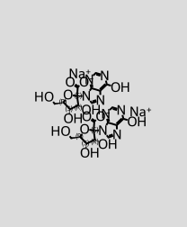 O=C([O-])[C@@]1(n2cnc3c(O)ncnc32)O[C@H](CO)[C@@H](O)[C@H]1O.O=C([O-])[C@@]1(n2cnc3c(O)ncnc32)O[C@H](CO)[C@@H](O)[C@H]1O.[Na+].[Na+]